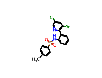 Cc1ccc(S(=O)(=O)Nc2ccccc2-c2ncc(Cl)cc2Br)cc1